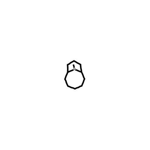 CN1C2CCCCCC1CCC2